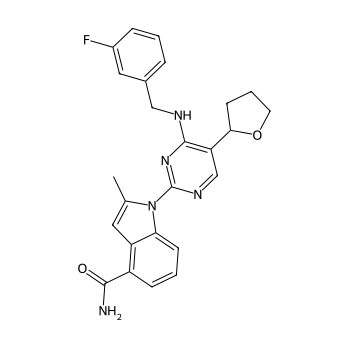 Cc1cc2c(C(N)=O)cccc2n1-c1ncc(C2CCCO2)c(NCc2cccc(F)c2)n1